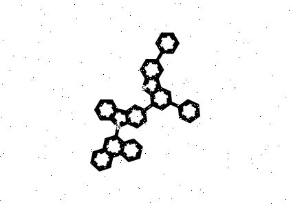 c1ccc(-c2ccc3sc4c(-c5ccc6c(c5)c5ccccc5n6-c5cc6ccccc6c6ccccc56)cc(-c5ccccc5)cc4c3c2)cc1